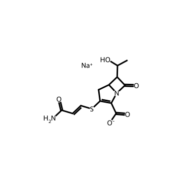 CC(O)C1C(=O)N2C(C(=O)[O-])=C(SC=CC(N)=O)CC12.[Na+]